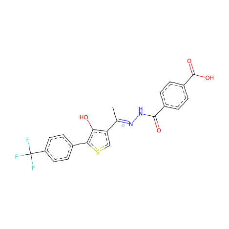 C/C(=N\NC(=O)c1ccc(C(=O)O)cc1)c1csc(-c2ccc(C(F)(F)F)cc2)c1O